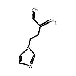 C=CC(=C)CCn1ccnc1